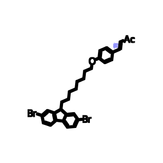 CC(=O)/C=C/c1ccc(OCCCCCCCCC2c3cc(Br)ccc3-c3ccc(Br)cc32)cc1